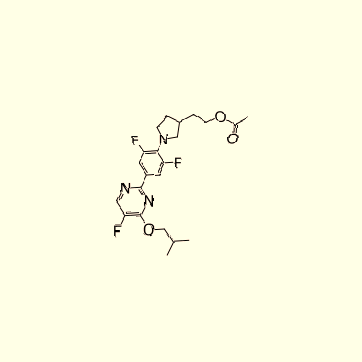 CC(=O)OCCC1CCN(c2c(F)cc(-c3ncc(F)c(OCC(C)C)n3)cc2F)C1